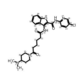 CN(C)C1CCN(C(=O)CCCCC(=O)Nc2c(C(=O)Nc3ccc(Cl)cn3)oc3ccccc23)CC1